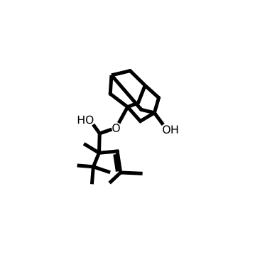 CC(C)=CC(C)(C(O)OC12CC3CC(CC(O)(C3)C1)C2)C(C)(C)C